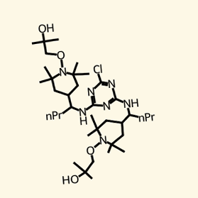 CCCC(Nc1nc(Cl)nc(NC(CCC)C2CC(C)(C)N(OCC(C)(C)O)C(C)(C)C2)n1)C1CC(C)(C)N(OCC(C)(C)O)C(C)(C)C1